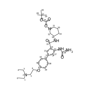 CCN(CC)CCOc1ccc(-c2cc(C(=O)N[C@H]3CCCN(OC(=O)OC(C)(C)C)C3)c(NC(N)=O)s2)cc1